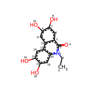 CCn1c(=O)c2cc(O)c(O)cc2c2cc(O)c(O)cc21